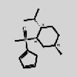 CC(C)[C@@H]1CC[C@@H](C)C[C@H]1P(C)(=O)C1=CC=CC1